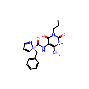 CCCn1c(=O)[nH]c(N)c(NC(=O)[N+]2(Cc3ccccc3)C=CC=N2)c1=O